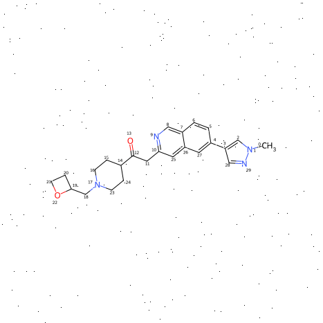 Cn1cc(-c2ccc3cnc(CC(=O)C4CCN(CC5CCO5)CC4)cc3c2)cn1